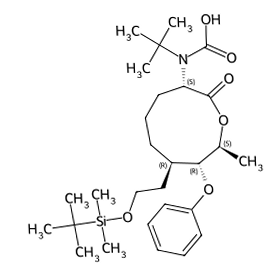 C[C@@H]1OC(=O)[C@@H](N(C(=O)O)C(C)(C)C)CCC[C@H](CCO[Si](C)(C)C(C)(C)C)[C@H]1Oc1ccccc1